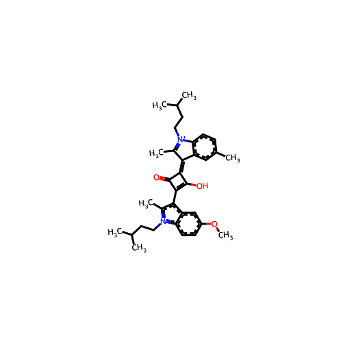 COc1ccc2c(c1)c(C1=C(O)/C(=C3/C(C)=[N+](CCC(C)C)c4ccc(C)cc43)C1=O)c(C)n2CCC(C)C